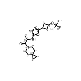 C[C@@H](Nc1nnc(C2CC(OC(F)(F)F)C2)o1)C(=O)N1CCC2(CC1)CC2